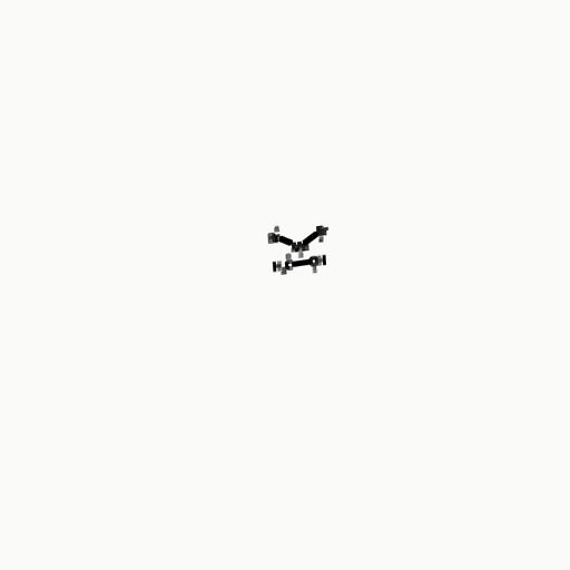 CO.[Br][Mn][Br]